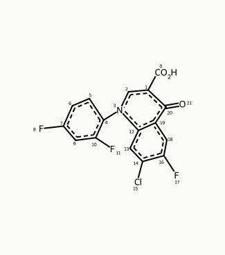 O=C(O)c1cn(-c2ccc(F)cc2F)c2cc(Cl)c(F)cc2c1=O